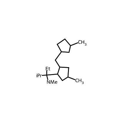 CCC(NC)(C(C)C)C1CC(C)CC1CC1CCC(C)C1